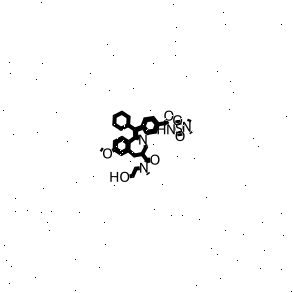 COc1ccc2c(c1)CC(C(=O)N(C)CCO)Cn1c-2c(C2CCCCC2)c2ccc(C(=O)NS(=O)(=O)N(C)C)cc21